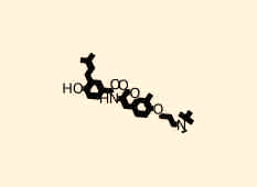 CC(C)=CCc1cc(C(=O)Nc2cc3ccc(OCCCN(C)C(C)(C)C)c(C)c3oc2=O)ccc1O